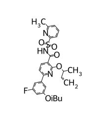 C=CC(C)Oc1nc(-c2cc(F)cc(OCC(C)C)c2)ccc1C(=O)NS(=O)(=O)c1cccc(C)n1